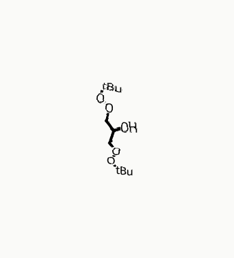 CC(C)(C)OOCC(O)COOC(C)(C)C